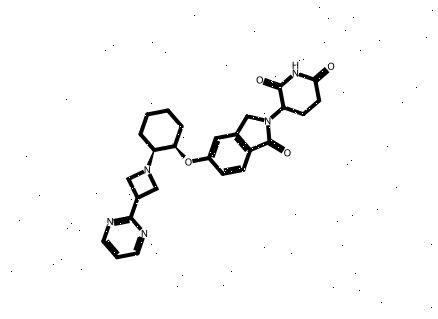 O=C1CCC(N2Cc3cc(O[C@@H]4CCCC[C@@H]4N4CC(c5ncccn5)C4)ccc3C2=O)C(=O)N1